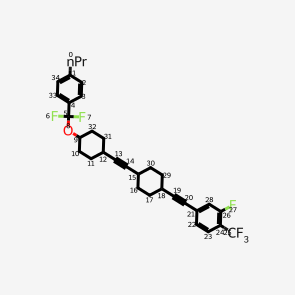 CCCc1ccc(C(F)(F)OC2CCC(C#CC3CCC(C#Cc4ccc(C(F)(F)F)c(F)c4)CC3)CC2)cc1